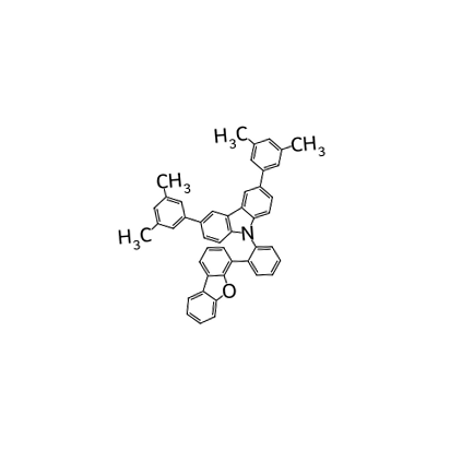 Cc1cc(C)cc(-c2ccc3c(c2)c2cc(-c4cc(C)cc(C)c4)ccc2n3-c2ccccc2-c2cccc3c2oc2ccccc23)c1